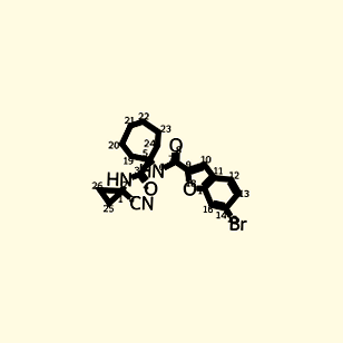 N#CC1(NC(=O)C2(NC(=O)c3cc4ccc(Br)cc4o3)CCCCCC2)CC1